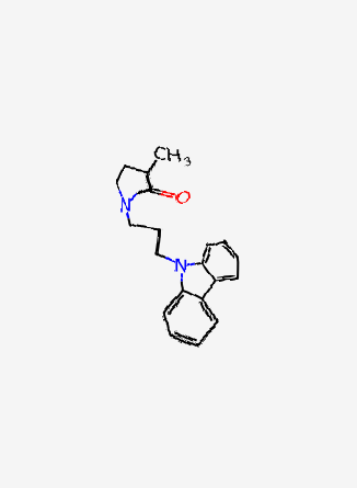 CC1CCN(CCCn2c3ccccc3c3ccccc32)C1=O